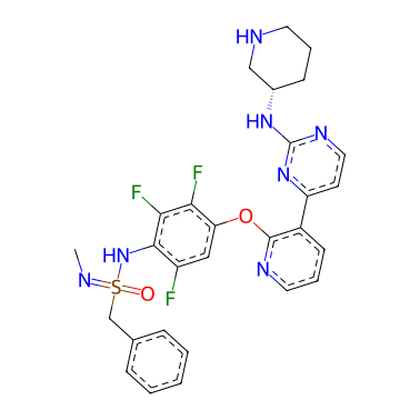 CN=S(=O)(Cc1ccccc1)Nc1c(F)cc(Oc2ncccc2-c2ccnc(N[C@H]3CCCNC3)n2)c(F)c1F